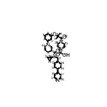 CC(C)(Oc1cccc(N2CCC[C@@H](C(=O)N(Cc3ccc(-c4ccncc4)cc3)C3CC3)C2)c1)C(=O)N1CCN(C(=O)O)CC1